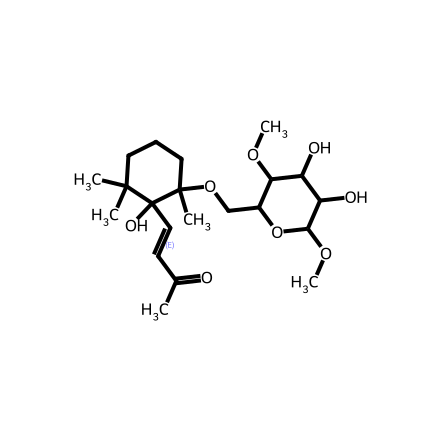 COC1OC(COC2(C)CCCC(C)(C)C2(O)/C=C/C(C)=O)C(OC)C(O)C1O